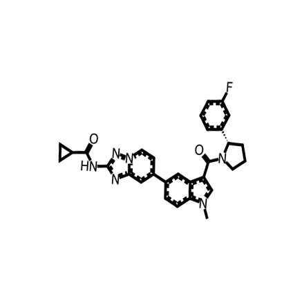 Cn1cc(C(=O)N2CCC[C@H]2c2cccc(F)c2)c2cc(-c3ccn4nc(NC(=O)C5CC5)nc4c3)ccc21